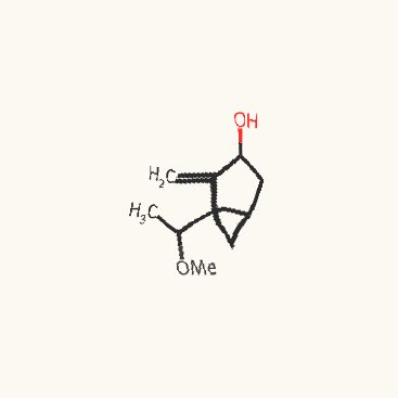 C=C1C(O)CC2CC12C(C)OC